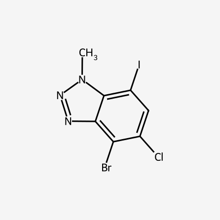 Cn1nnc2c(Br)c(Cl)cc(I)c21